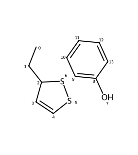 CCC1C=CSS1.Oc1ccccc1